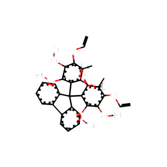 C=COc1c(C)c(OCC)c(C2(c3c(OCC)c(C)c(OC=C)c(OCC)c3OCC)c3ccccc3-c3ccccc32)c(OCC)c1OCC